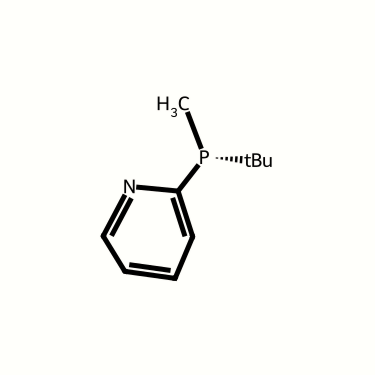 C[P@@](c1ccccn1)C(C)(C)C